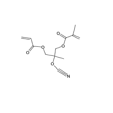 C=CC(=O)OCC(C)(COC(=O)C(=C)C)OC#N